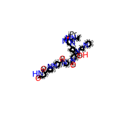 CC(C)n1cnc2cc(-c3ccc4c(c3)N([C@H]3C[C@@H](N5CCCCC5)C3)C(O)C43CCN(C(=O)[C@@H]4CCN(C(=O)C5CCN(c6ccc(C7CCC(=O)NC7=O)cn6)CC5)C4)CC3)nc(NC3CC3)c21